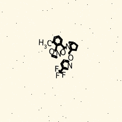 Cc1cccc(C(=O)N2CC3CCC2(COc2ccc(C(F)(F)F)cn2)C3)c1-c1ncco1